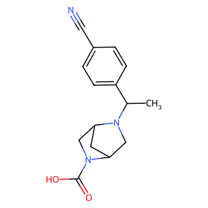 CC(c1ccc(C#N)cc1)N1CC2CC1CN2C(=O)O